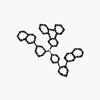 c1cc(-c2ccc3ccccc3c2)cc(N(c2ccc(-c3ccccc3-c3ccc4ccccc4c3)cc2)c2ccc3c4ccccc4c4ccccc4c3c2)c1